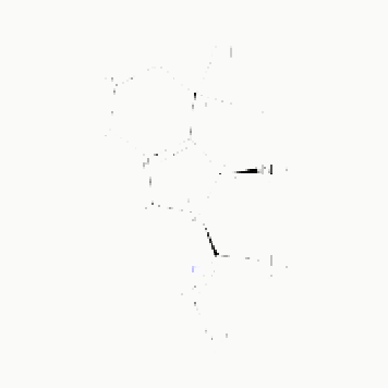 C/C(=C\N=O)[C@H]1CC2=C([C@H]1N=O)C(C)(C)CCC2